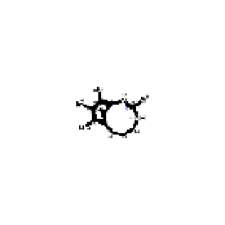 Cc1c2c(Br)c(Br)c(Br)c1/N=C(/Br)NCCC2